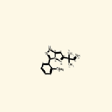 COc1ccccc1-c1n[nH]c2cc(C(C)(C)C=N)nn12